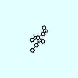 c1ccc(-c2ccc(-n3c4ccccc4c4c(-c5ccc6oc7ccccc7c6c5)cc5sc6ccccc6c5c43)cc2)cc1